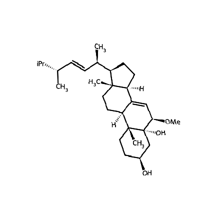 CO[C@@H]1C=C2[C@@H]3CC[C@H]([C@H](C)/C=C/[C@H](C)C(C)C)[C@@]3(C)CC[C@@H]2[C@@]2(C)CC[C@H](O)C[C@]12O